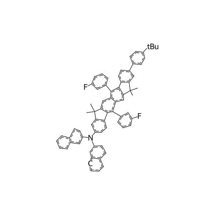 CC(C)(C)c1ccc(-c2ccc3c(c2)C(C)(C)c2cc4c(-c5cccc(F)c5)c5c(cc4c(-c4cccc(F)c4)c2-3)C(C)(C)c2cc(N(c3ccc4ccccc4c3)c3ccc4ccccc4c3)ccc2-5)cc1